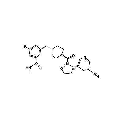 CNC(=O)c1cc(F)cc(C[C@H]2CC[C@H](C(=O)N3OCC[C@H]3c3cncc(C#N)c3)CC2)c1